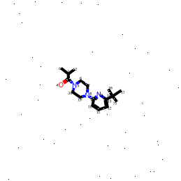 CC(C)C(=O)N1CCN(c2cccc(C(C)(C)C)n2)CC1